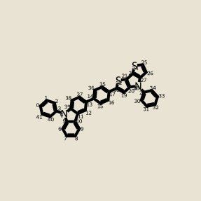 c1ccc(-n2c3ccccc3c3cc(-c4ccc(-c5cc6c(s5)c5sccc5n6-c5ccccc5)cc4)ccc32)cc1